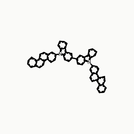 c1ccc2c(c1)ccc1c3ccc(-n4c5ccccc5c5cc(-c6ccc7c(c6)c6ccccc6n7-c6ccc7c(ccc8c9ccccc9ccc78)c6)ccc54)cc3ccc21